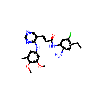 CCc1cc(N)c(NC(=O)/C=C/c2cncnc2Nc2cc(C)c(OC)c(OC)c2)cc1Cl